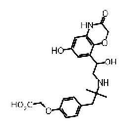 CC(C)(Cc1ccc(OCC(=O)O)cc1)NCC(O)c1cc(O)cc2c1OCC(=O)N2